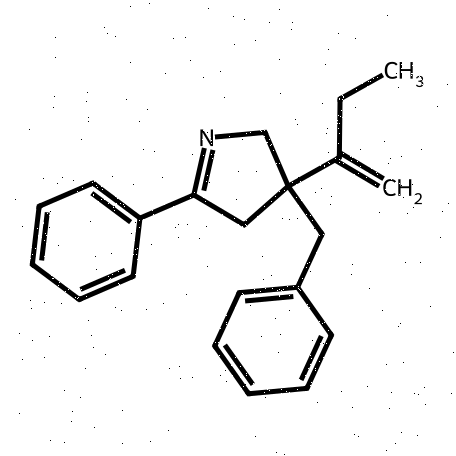 C=C(CC)C1(Cc2ccccc2)CN=C(c2ccccc2)C1